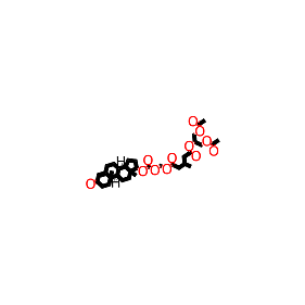 CC(=O)OCC(COC(C)=O)OC(=O)CC(C)CC(=O)OCOC(=O)OC1CC[C@H]2C3CCC4=CC(=O)CCC4(C)[C@H]3CCC12C